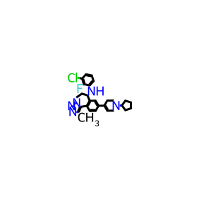 Cc1nnn2c1-c1ccc(C3=CCN(C4CCCC4)CC3)cc1C(Nc1cccc(Cl)c1F)CC2